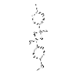 COc1ccc(P2(=S)SP(=S)(c3ccc(C)cc3)S2)cc1